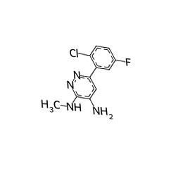 CNc1nnc(-c2cc(F)ccc2Cl)cc1N